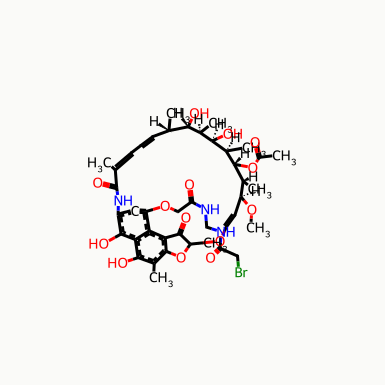 CO[C@H]1/C=C/O[C@@]2(C)Oc3c(C)c(O)c4c(O)c(cc(OCC(=O)NCNC(=O)CBr)c4c3C2=O)NC(=O)/C(C)=C\C=C\[C@H](C)[C@H](O)[C@@H](C)[C@@H](O)[C@@H](C)[C@H](OC(C)=O)[C@@H]1C